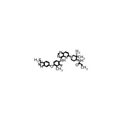 C=CC(=O)N[C@H]1CCN(c2ccc3ncnc(Nc4ccc(Oc5ccc6c(c5)nnn6C)c(C)c4F)c3n2)CC1(C)C